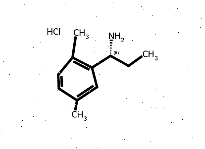 CC[C@@H](N)c1cc(C)ccc1C.Cl